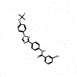 CC(C)c1cccc(C(=O)Nc2ccc(-c3ncn(-c4ccc(OC(C)(C)F)cc4)n3)cc2)c1